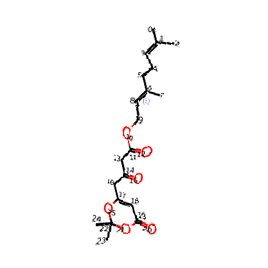 CC(C)=CCC/C(C)=C/COC(=O)CC(=O)CC1=CC(=O)OC(C)(C)O1